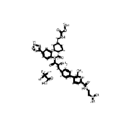 CCN(CC)CCNC(=O)c1ccc(-c2ccc(C[C@H](N)C(=O)N(c3ccc(-c4nn[nH]n4)cc3)C(=O)[C@H]3CC[C@H](CNC(=O)OC(C)(C)C)CC3)cc2)c(C)n1.O=C(O)C(F)(F)F